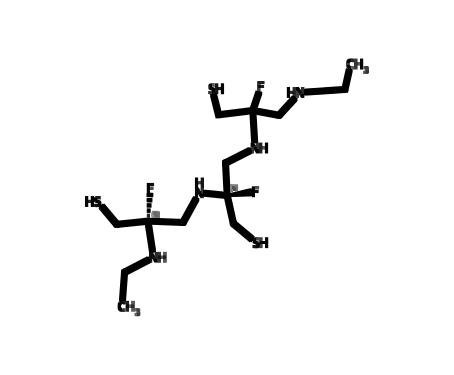 CCNCC(F)(CS)NC[C@](F)(CS)NC[C@](F)(CS)NCC